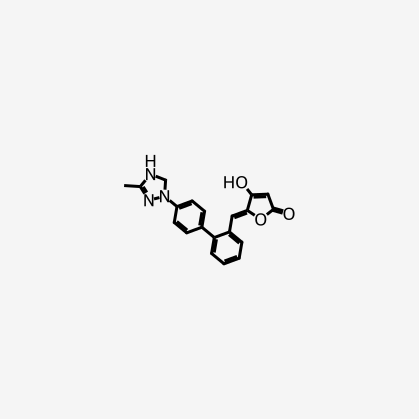 CC1=NN(c2ccc(-c3ccccc3/C=C3\OC(=O)C=C3O)cc2)CN1